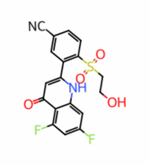 N#Cc1ccc(S(=O)(=O)CCO)c(-c2cc(=O)c3c(F)cc(F)cc3[nH]2)c1